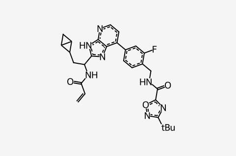 C=CC(=O)NC(CC1C2CC12)c1nc2c(-c3ccc(CNC(=O)c4nc(C(C)(C)C)no4)c(F)c3)ccnc2[nH]1